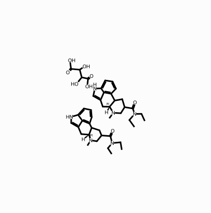 CCN(CC)C(=O)C1CC2c3cccc4[nH]cc(c34)C[C@H]2N(C)C1.CCN(CC)C(=O)C1CC2c3cccc4[nH]cc(c34)C[C@H]2N(C)C1.O=C(O)C(O)C(O)C(=O)O